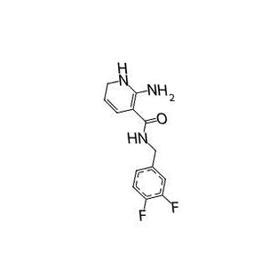 NC1=C(C(=O)NCc2ccc(F)c(F)c2)C=CCN1